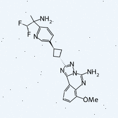 COc1cccc2c1nc(N)n1nc([C@H]3C[C@H](c4ccc(C(C)(N)C(F)F)nc4)C3)nc21